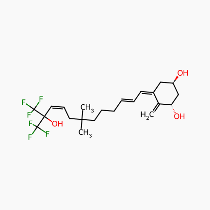 C=C1/C(=C\C=C\CCCC(C)(C)C/C=C\C(O)(C(F)(F)F)C(F)(F)F)C[C@@H](O)C[C@@H]1O